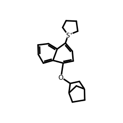 c1ccc2c([S+]3CCCC3)ccc(OC3CC4CCC3C4)c2c1